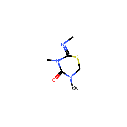 CN=C1SCN(C(C)(C)C)C(=O)N1C